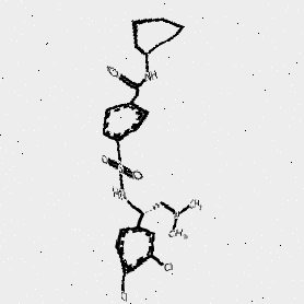 CN(C)C[C@@H](NS(=O)(=O)c1ccc(C(=O)NC2CCCCC2)cc1)c1ccc(Cl)c(Cl)c1